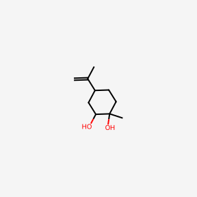 C=C(C)C1CCC(C)(O)C(O)C1